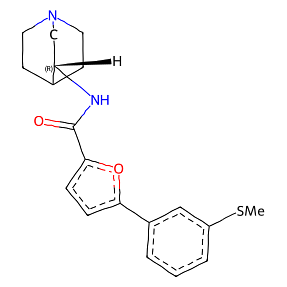 CSc1cccc(-c2ccc(C(=O)N[C@H]3CN4CCC3CC4)o2)c1